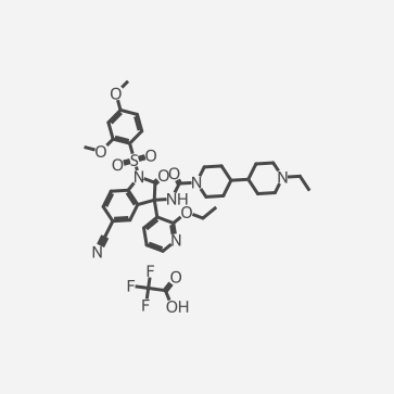 CCOc1ncccc1C1(NC(=O)N2CCC(C3CCN(CC)CC3)CC2)C(=O)N(S(=O)(=O)c2ccc(OC)cc2OC)c2ccc(C#N)cc21.O=C(O)C(F)(F)F